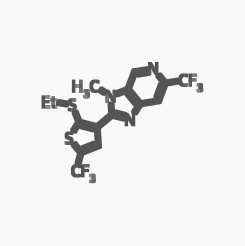 CCSc1sc(C(F)(F)F)cc1-c1nc2cc(C(F)(F)F)ncc2n1C